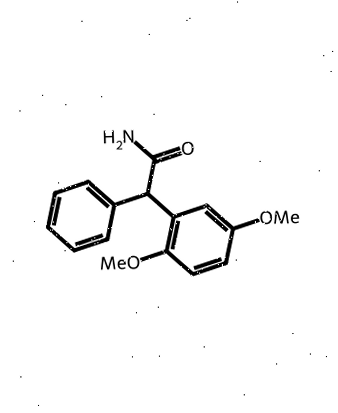 COc1ccc(OC)c(C(C(N)=O)c2ccccc2)c1